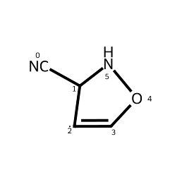 N#CC1[C]=CON1